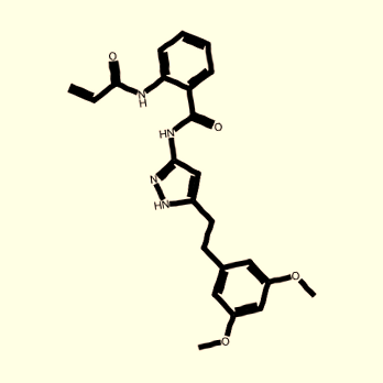 C=CC(=O)Nc1ccccc1C(=O)Nc1cc(CCc2cc(OC)cc(OC)c2)[nH]n1